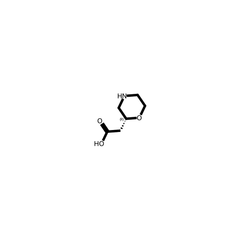 O=C(O)C[C@@H]1CNCCO1